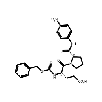 O=C(O)CC[C@H](NC(=O)OCc1ccccc1)C(=O)N1CCC[C@H]1C(=O)Nc1ccc([N+](=O)[O-])cc1